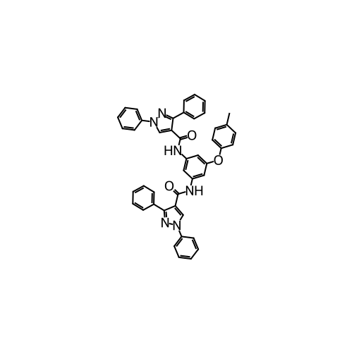 Cc1ccc(Oc2cc(NC(=O)c3cn(-c4ccccc4)nc3-c3ccccc3)cc(NC(=O)c3cn(-c4ccccc4)nc3-c3ccccc3)c2)cc1